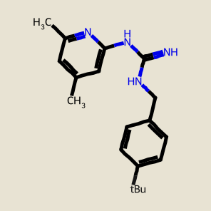 Cc1cc(C)nc(NC(=N)NCc2ccc(C(C)(C)C)cc2)c1